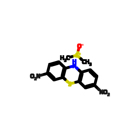 C[S+](C)[O-].O=[N+]([O-])c1ccc2c(c1)Sc1cc([N+](=O)[O-])ccc1N2